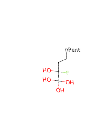 CCCCCCCC(O)(F)C(O)(O)O